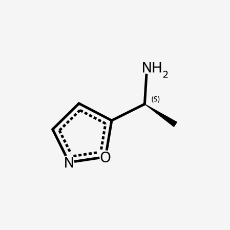 C[C@H](N)c1ccno1